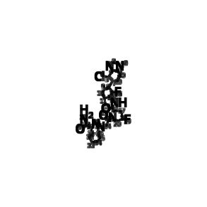 Cn1cnc2c(Cl)c(-c3cccc(NC(=O)C4C[C@@H](F)CN4C(=O)Cn4nc(C(N)=O)c5ccccc54)c3F)ccc21